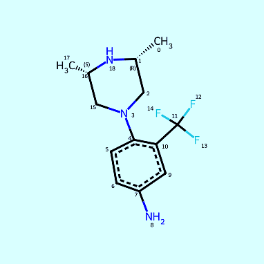 C[C@@H]1CN(c2ccc(N)cc2C(F)(F)F)C[C@H](C)N1